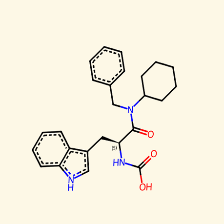 O=C(O)N[C@@H](Cc1c[nH]c2ccccc12)C(=O)N(Cc1ccccc1)C1CCCCC1